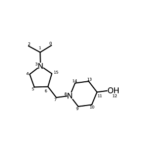 CC(C)N1CCC(CN2CCC(O)CC2)C1